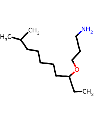 CCC(CCCCCC(C)C)OCCCN